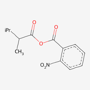 CC(C)C(C)C(=O)OC(=O)c1ccccc1[N+](=O)[O-]